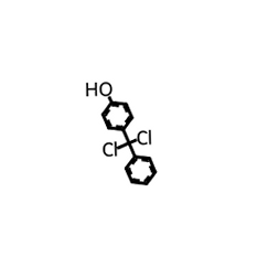 Oc1ccc(C(Cl)(Cl)c2ccccc2)cc1